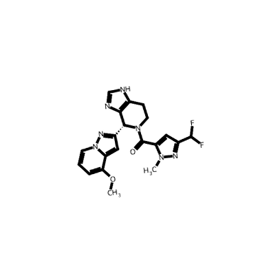 COc1cccn2nc([C@@H]3c4nc[nH]c4CCN3C(=O)c3cc(C(F)F)nn3C)cc12